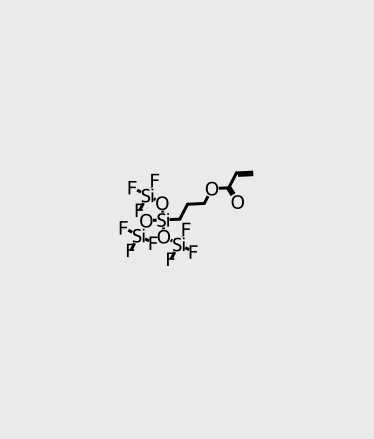 C=CC(=O)OCCC[Si](O[Si](F)(F)F)(O[Si](F)(F)F)O[Si](F)(F)F